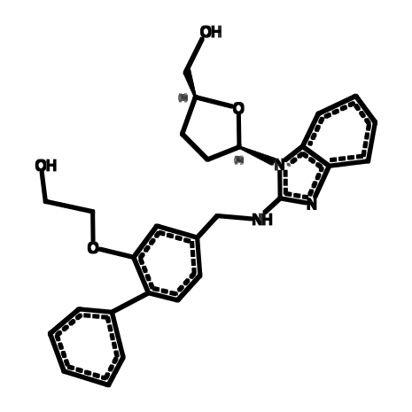 OCCOc1cc(CNc2nc3ccccc3n2[C@H]2CC[C@@H](CO)O2)ccc1-c1ccccc1